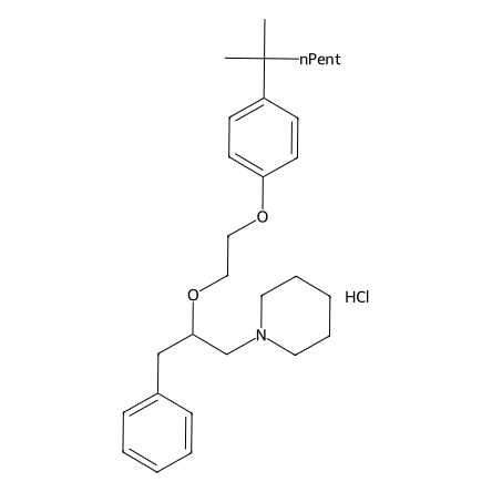 CCCCCC(C)(C)c1ccc(OCCOC(Cc2ccccc2)CN2CCCCC2)cc1.Cl